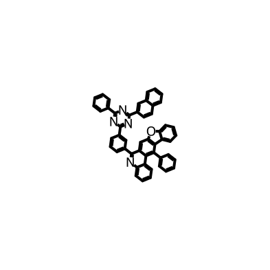 c1ccc(-c2nc(-c3cccc(-c4nc5ccccc5c5c(-c6ccccc6)c6c(cc45)oc4ccccc46)c3)nc(-c3ccc4ccccc4c3)n2)cc1